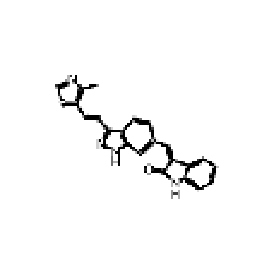 Cc1ncsc1C=Cc1n[nH]c2cc(C=C3C(=O)Nc4ccccc43)ccc12